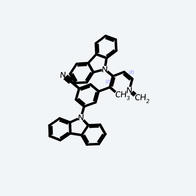 C=N/C=C\C(=C(/C)c1cc(C#N)cc(-n2c3ccccc3c3ccccc32)c1)n1c2ccccc2c2ccccc21